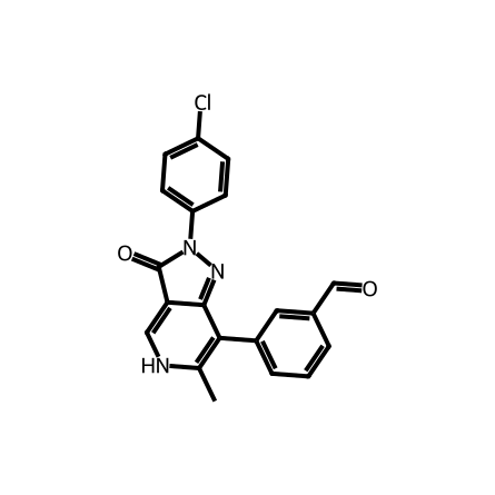 Cc1[nH]cc2c(=O)n(-c3ccc(Cl)cc3)nc-2c1-c1cccc(C=O)c1